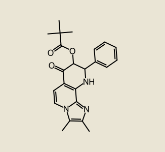 Cc1nc2c3c(ccn2c1C)C(=O)C(OC(=O)C(C)(C)C)C(c1ccccc1)N3